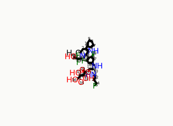 C[C@@H]1Cc2c([nH]c3ccccc23)[C@@H](c2c(F)cc(N[C@H](CNCCCF)COC(=O)[C@H](O)[C@@H](O)C(=O)O)cc2F)N1CC(F)(F)CO